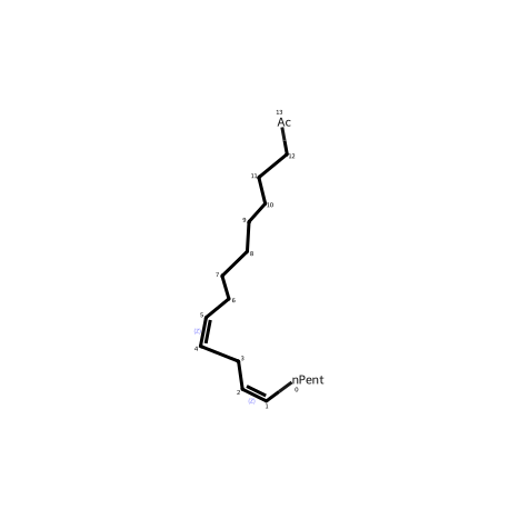 CCCCC/C=C\C/C=C\CCCCCCCC(C)=O